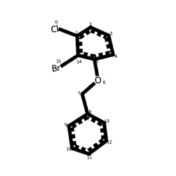 Clc1cccc(OCc2ccccc2)c1Br